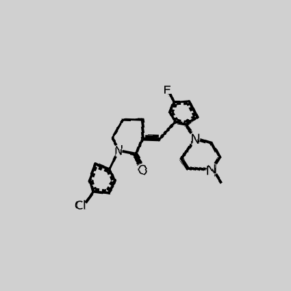 CN1CCN(c2ccc(F)cc2C=C2CCCN(c3ccc(Cl)cc3)C2=O)CC1